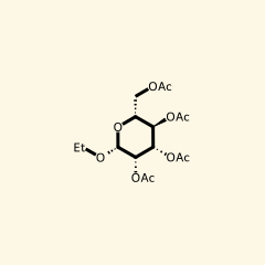 [CH2]CO[C@@H]1O[C@H](COC(C)=O)[C@@H](OC(C)=O)[C@H](OC(C)=O)[C@@H]1OC(C)=O